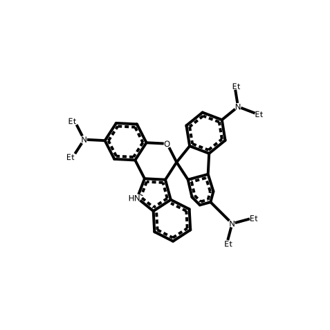 CCN(CC)c1ccc2c(c1)-c1[nH]c3ccccc3c1C1(O2)c2ccc(N(CC)CC)cc2-c2cc(N(CC)CC)ccc21